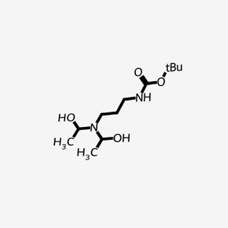 CC(O)N(CCCNC(=O)OC(C)(C)C)C(C)O